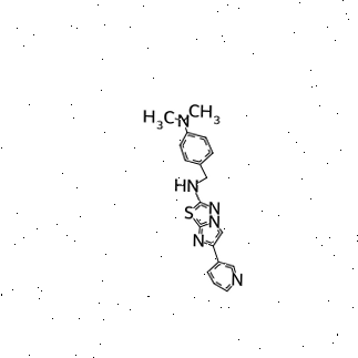 CN(C)c1ccc(CNc2nn3cc(-c4cccnc4)nc3s2)cc1